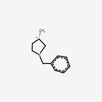 C[C@H]1CCN(Cc2ccccc2)C1